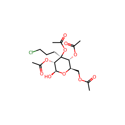 CC(=O)OC[C@H]1O[C@@H](O)[C@H](OC(C)=O)[C@@](CCCCl)(OC(C)=O)[C@@H]1OC(C)=O